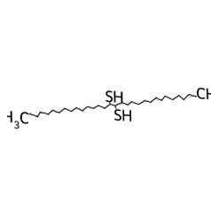 CCCCCCCCCCCCCCCC(S)C(S)CCCCCCCCCCCCCCC